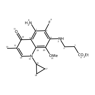 CCOC(=O)CCNc1c(F)c(N)c2c(=O)c(C)cn(C3CC3)c2c1OC